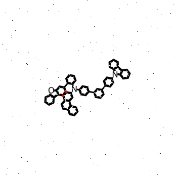 c1cc(-c2ccc(N(c3ccc4ccc5ccccc5c4c3)c3ccccc3-c3ccc4c(c3)oc3ccccc34)cc2)cc(-c2ccc(-n3c4ccccc4c4ccccc43)cc2)c1